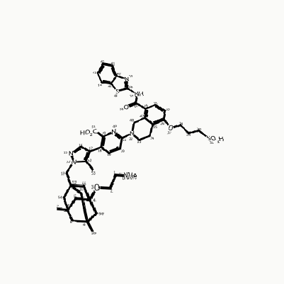 CNCCOC12CC3(C)CC(C)(CC(Cn4ncc(-c5ccc(N6CCc7c(OCCCS(=O)(=O)O)ccc(C(=O)Nc8nc9ccccc9s8)c7C6)nc5C(=O)O)c4C)(C3)C1)C2